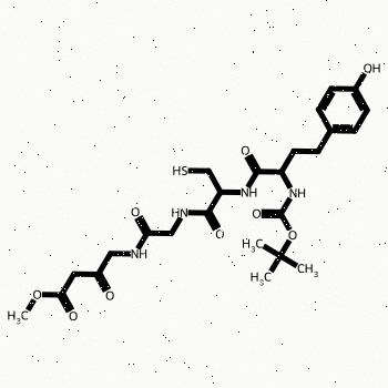 COC(=O)CC(=O)CNC(=O)CNC(=O)C(CS)NC(=O)C(CCc1ccc(O)cc1)NC(=O)OC(C)(C)C